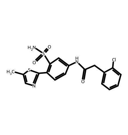 Cc1cnc(-c2ccc(NC(=O)Cc3ccccc3Cl)cc2S(N)(=O)=O)s1